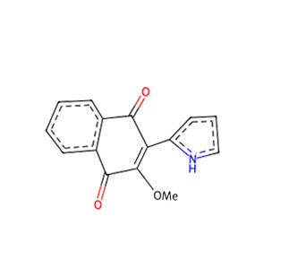 COC1=C(c2ccc[nH]2)C(=O)c2ccccc2C1=O